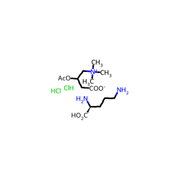 CC(=O)OC(CC(=O)[O-])C[N+](C)(C)C.Cl.Cl.NCCC[C@H](N)C(=O)O